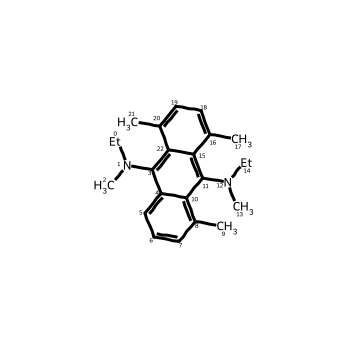 CCN(C)c1c2cccc(C)c2c(N(C)CC)c2c(C)ccc(C)c12